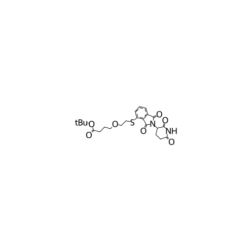 CC(C)(C)OC(=O)CCCOCCSc1cccc2c1C(=O)N(C1CCC(=O)NC1=O)C2=O